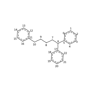 [c]1ccccc1C(CCCCc1ccccc1)c1ccccc1